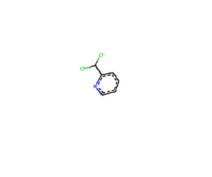 ClC(Cl)c1cc[c]cn1